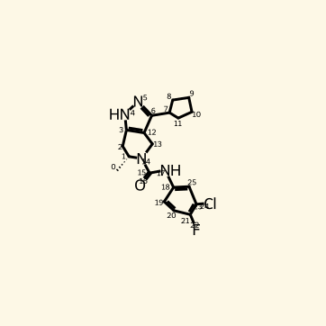 C[C@@H]1Cc2[nH]nc(C3CCCC3)c2CN1C(=O)Nc1ccc(F)c(Cl)c1